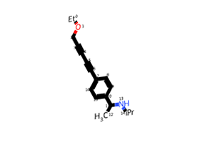 CCOCC#CC#Cc1ccc(C(C)NC(C)C)cc1